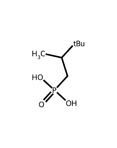 CC(CP(=O)(O)O)C(C)(C)C